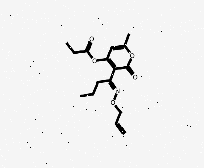 C=CCON=C(CCC)c1c(OC(=O)CC)cc(C)oc1=O